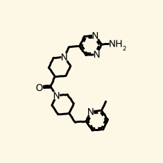 Cc1cccc(CC2CCN(C(=O)C3CCN(Cc4cnc(N)nc4)CC3)CC2)n1